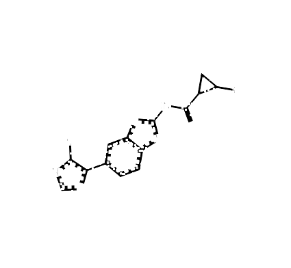 Cc1ncoc1-c1ccc2nc(NC(=O)C3CC3F)sc2c1